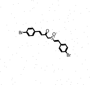 O=C(/C=C/c1ccc(Br)cc1)C[S+]([O-])/C=C/c1ccc(Br)cc1